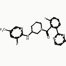 O=C(c1c(F)cccc1-c1ncccn1)N1CCCC(Nc2ncc(C(F)(F)F)cc2F)C1